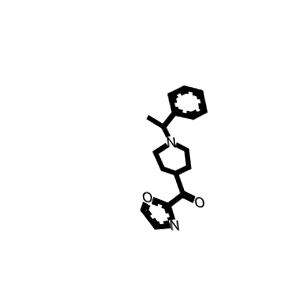 CC(c1ccccc1)N1CCC(C(=O)c2ncco2)CC1